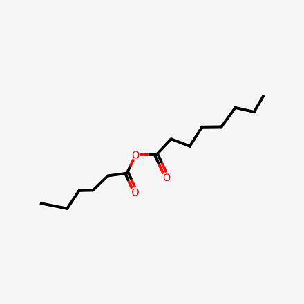 CCCCCCCC(=O)OC(=O)CCCCC